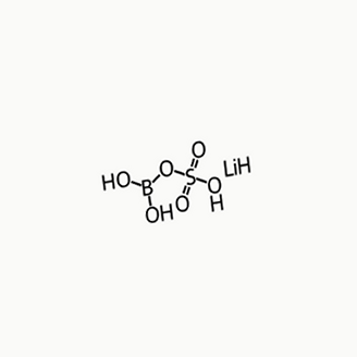 O=S(=O)(O)OB(O)O.[LiH]